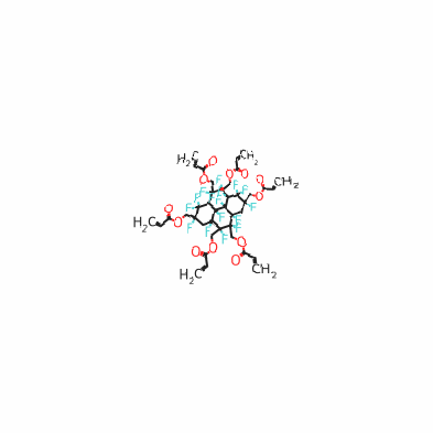 C=CC(=O)OCC1(F)CC2(F)C(F)(COC(=O)C=C)C(F)(COC(=O)C=C)C3(F)CC(F)(COC(=O)C=C)C(F)(F)C4(F)C(F)(COC(=O)C=C)C(F)(COC(=O)C=C)C(F)(C1(F)F)C2(F)C34F